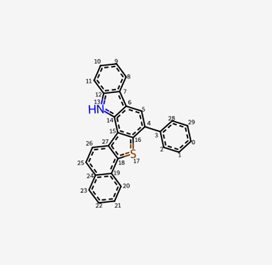 c1ccc(-c2cc3c4ccccc4[nH]c3c3c2sc2c4ccccc4ccc23)cc1